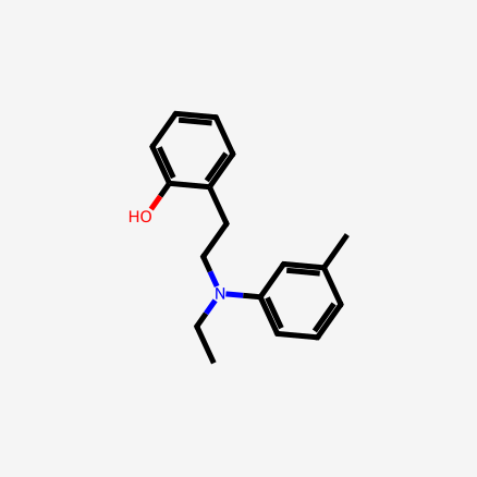 CCN(CCc1ccccc1O)c1cccc(C)c1